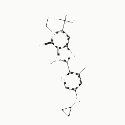 CCn1c(C(F)(F)F)cc2nc(-c3ncc(NC4CC4)cc3C)n(C)c2c1=O